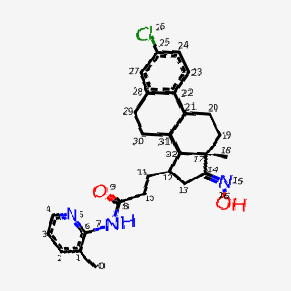 Cc1cccnc1NC(=O)CC[C@@H]1C/C(=N\O)[C@@]2(C)CCC3c4ccc(Cl)cc4CCC3C12